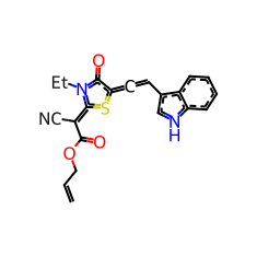 C=CCOC(=O)/C(C#N)=c1\sc(=C=Cc2c[nH]c3ccccc23)c(=O)n1CC